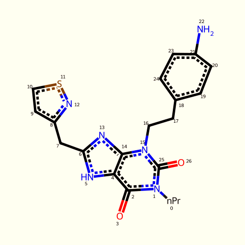 CCCn1c(=O)c2[nH]c(Cc3ccsn3)nc2n(CCc2ccc(N)cc2)c1=O